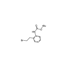 CC(C)(C)OC(=O)Nc1ccccc1CCBr